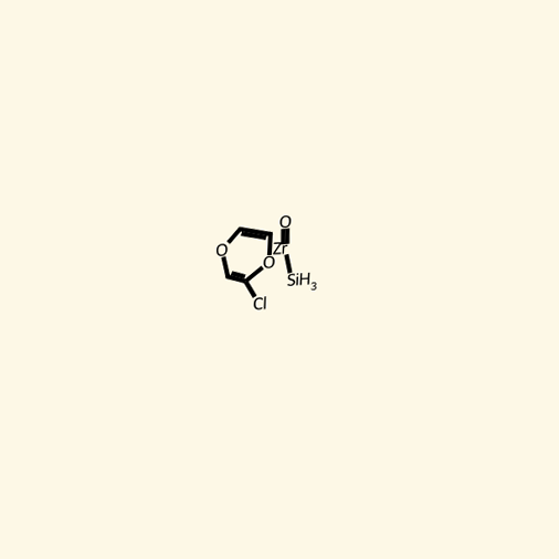 ClC1=COC=CO1.[O]=[Zr][SiH3]